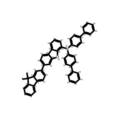 CC1(C)c2ccccc2-c2ccc(-c3ccc4c(c3)oc3c(N(c5ccc(-c6ccccc6)cc5)c5ccc(-c6ccccc6)cc5)cccc34)cc21